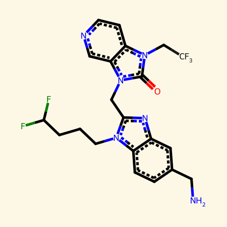 NCc1ccc2c(c1)nc(Cn1c(=O)n(CC(F)(F)F)c3ccncc31)n2CCCC(F)F